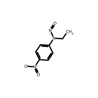 CCN(N=O)c1ccc([N+](=O)[O-])cc1